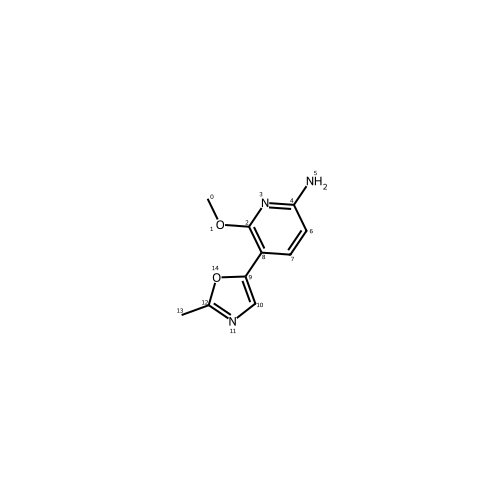 COc1nc(N)ccc1-c1cnc(C)o1